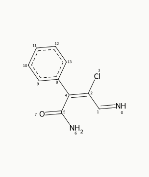 N=C/C(Cl)=C(\C(N)=O)c1ccccc1